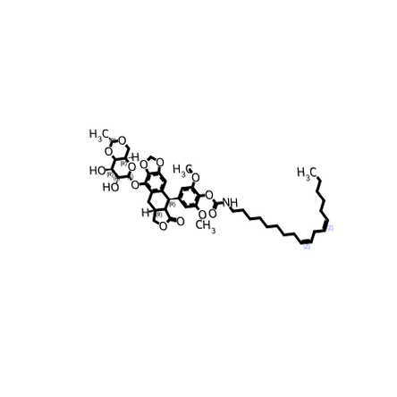 CCCCC/C=C\C/C=C\CCCCCCCCNC(=O)Oc1c(OC)cc([C@@H]2c3cc4c(c(O[C@@H]5O[C@@H]6CO[C@@H](C)OC6[C@H](O)[C@H]5O)c3C[C@H]3COC(=O)C32)OCO4)cc1OC